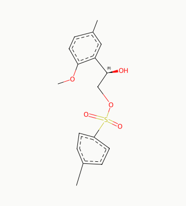 COc1ccc(C)cc1[C@@H](O)COS(=O)(=O)c1ccc(C)cc1